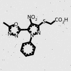 Cc1nnc(-c2c([N+](=O)[O-])c(SCC(=O)O)nn2-c2ccccc2)o1